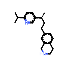 CC(C)c1ccc([C@@H](C)CCc2ccc3c(c2)CNCC3)cn1